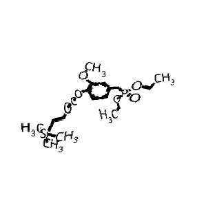 CCOP(=O)(Cc1ccc(OCOCC[Si](C)(C)C)c(OC)c1)OCC